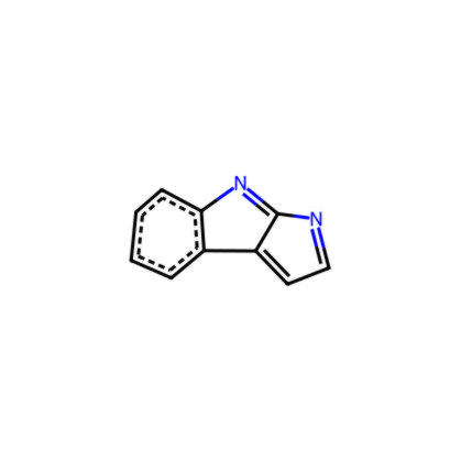 C1=NC2=Nc3ccccc3C2=C1